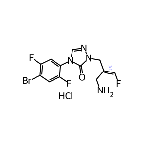 Cl.NC/C(=C\F)Cn1ncn(-c2cc(F)c(Br)cc2F)c1=O